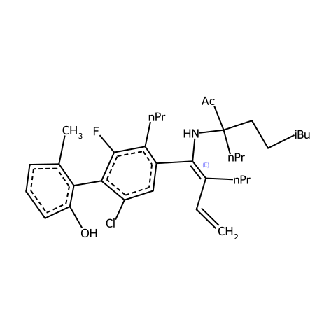 C=C/C(CCC)=C(/NC(CCC)(CCC(C)CC)C(C)=O)c1cc(Cl)c(-c2c(C)cccc2O)c(F)c1CCC